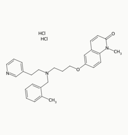 Cc1ccccc1CN(CCCOc1ccc2c(ccc(=O)n2C)c1)CCc1cccnc1.Cl.Cl